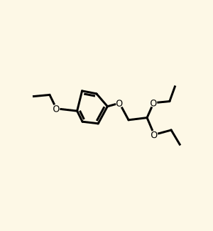 CCOc1ccc(OCC(OCC)OCC)cc1